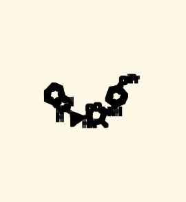 CC(C)Oc1ccc(NC(=O)[C@@H](C)NC(=O)[C@H]2C[C@@H]2c2nc3ccccc3[nH]2)cc1